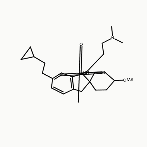 COC1CCC2(CC1)Cc1ccc(CCC3CC3)cc1C21NC(=O)N(CCN(C)C)C1=O